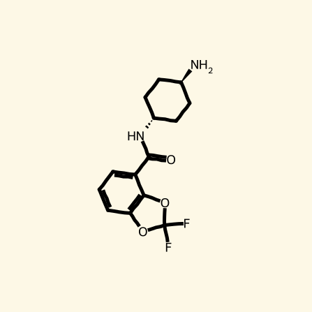 N[C@H]1CC[C@H](NC(=O)c2cccc3c2OC(F)(F)O3)CC1